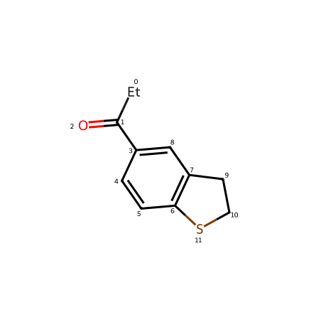 CCC(=O)c1ccc2c(c1)CCS2